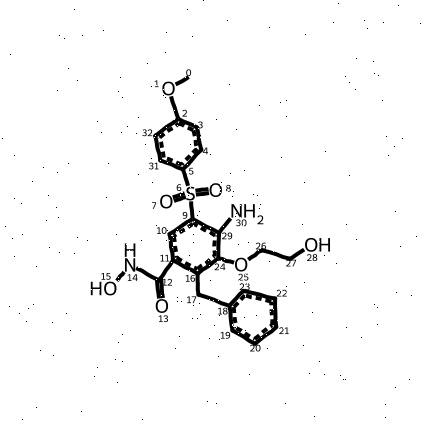 COc1ccc(S(=O)(=O)c2cc(C(=O)NO)c(Cc3ccccc3)c(OCCO)c2N)cc1